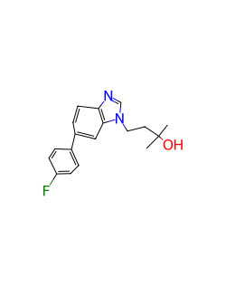 CC(C)(O)CCn1cnc2ccc(-c3ccc(F)cc3)cc21